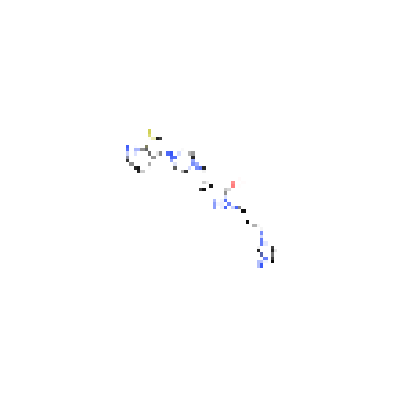 O=C(NCCCn1ccnc1)[C@@H]1C[C@H]1CN1CCN(C2CSc3ncccc32)CC1